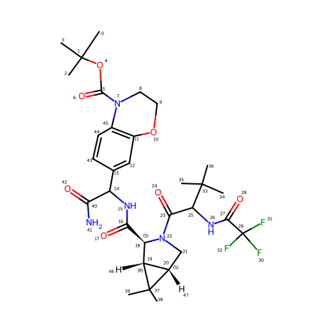 CC(C)(C)OC(=O)N1CCOc2cc(C(NC(=O)[C@@H]3[C@@H]4[C@H](CN3C(=O)C(NC(=O)C(F)(F)F)C(C)(C)C)C4(C)C)C(N)=O)ccc21